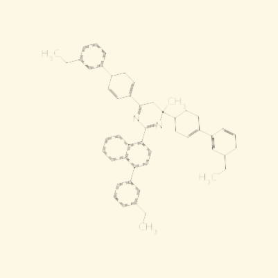 CCc1cccc(-c2ccc(C3=NC(C)(C4CC=C(C5=CC(CC)CC=C5)CC4)CC(C4=CCC(c5cccc(CC)c5)C=C4)=N3)c3ccccc23)c1